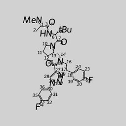 CN[C@@H](C)C(=O)N[C@H](C(=O)N1CCC[C@H]1CN(CCc1ccc(F)cc1)C(=O)c1cn(-c2ccc(F)cc2)nn1)C(C)(C)C